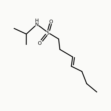 CCC/C=C/CCS(=O)(=O)NC(C)C